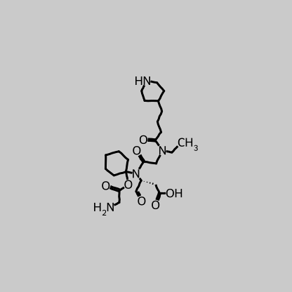 CCN(CC(=O)N([C@@H](C=O)CC(=O)O)C1(OC(=O)CN)CCCCC1)C(=O)CCCC1CCNCC1